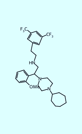 COc1ccccc1C(CNCCc1cc(C(F)(F)F)cc(C(F)(F)F)c1)N1CCN(C2CCCCCC2)CC1